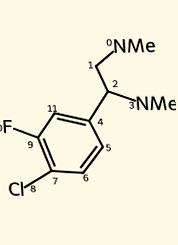 CNCC(NC)c1ccc(Cl)c(F)c1